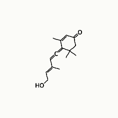 CC1=CC(=O)CC(C)(C)C1=C=C/C(C)=C/CO